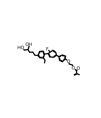 C=C(C)C(=O)OCCOc1ccc(C2=CC=C(c3ccc(CCCC(CO)CO)cc3CC)C(F)C=C2)cc1